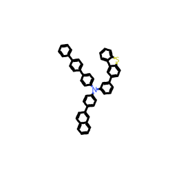 c1ccc(-c2ccc(-c3ccc(N(c4ccc(-c5ccc6ccccc6c5)cc4)c4cccc(-c5ccc6sc7ccccc7c6c5)c4)cc3)cc2)cc1